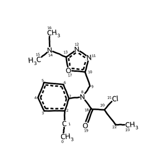 CCc1ccccc1N(Cc1nnc(N(C)C)o1)C(=O)C(Cl)CC